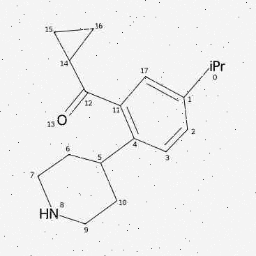 CC(C)c1ccc(C2CCNCC2)c(C(=O)C2CC2)c1